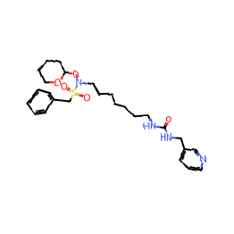 O=C(NCCCCCCCN(OC1CCCCO1)S(=O)(=O)Cc1ccccc1)NCc1cccnc1